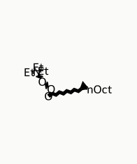 CCCCCCCCC1CC1CCCCCCCC(=O)OCCOCC[N+](CC)(CC)CC